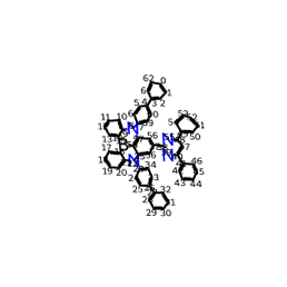 c1ccc(-c2ccc(N3c4ccccc4B4c5ccccc5N(c5ccc(-c6ccccc6)cc5)c5cc(-c6nc(-c7ccccc7)cc(-c7ccccc7)n6)cc3c54)cc2)cc1